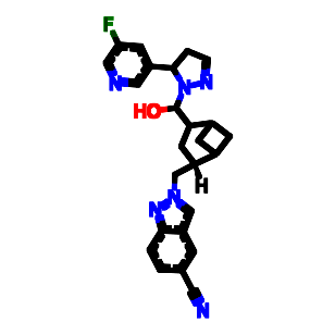 N#Cc1ccc2nn(C[C@@H]3CC(C(O)N4N=CCC4c4cncc(F)c4)C4CC3C4)cc2c1